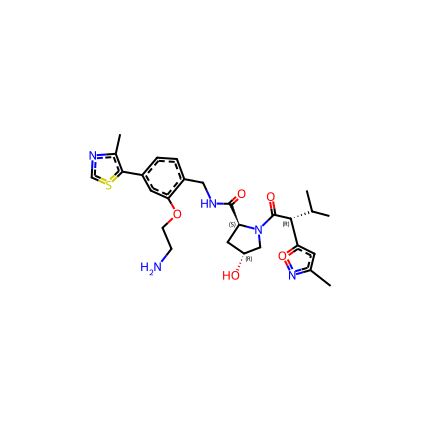 Cc1cc([C@H](C(=O)N2C[C@H](O)C[C@H]2C(=O)NCc2ccc(-c3scnc3C)cc2OCCN)C(C)C)on1